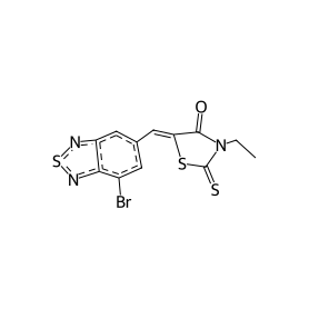 CCN1C(=O)/C(=C/c2cc(Br)c3nsnc3c2)SC1=S